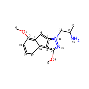 COC1=C2C=c3c(c(OC)nn3CC(C)N)=C2CC=C1